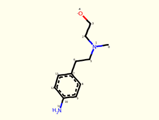 CN(CC[O])CCc1ccc(N)cc1